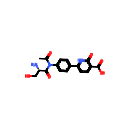 CC(=O)N(C(=O)[C@@H](N)CO)c1ccc(-c2ccc(C(=O)O)c(=O)[nH]2)cc1